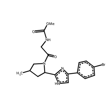 COC(=O)NCC(=O)N1CC(C)CC1c1nc(-c2ccc(Br)cc2)c[nH]1